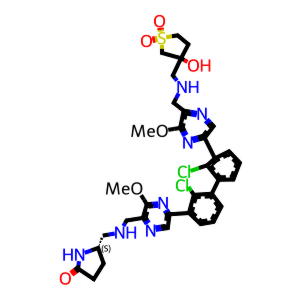 COc1nc(-c2cccc(-c3cccc(-c4cnc(CNCC5(O)CCS(=O)(=O)C5)c(OC)n4)c3Cl)c2Cl)cnc1CNC[C@@H]1CCC(=O)N1